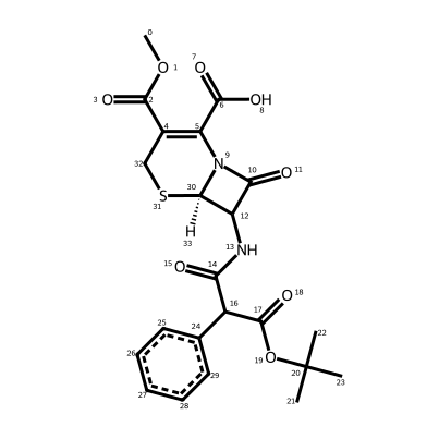 COC(=O)C1=C(C(=O)O)N2C(=O)C(NC(=O)C(C(=O)OC(C)(C)C)c3ccccc3)[C@H]2SC1